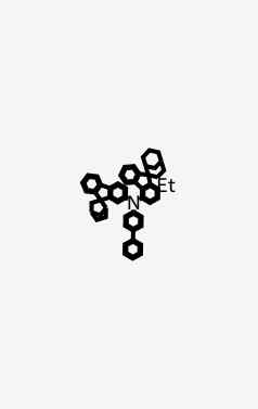 CCC1CC2CCCC(C2)C12c1ccccc1-c1c(N(c3ccc(-c4ccccc4)cc3)c3ccc4c(c3)C3(CC5CCC3C5)c3ccccc3-4)cccc12